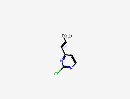 CCOC(=O)/C=C/c1ccnc(Cl)n1